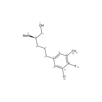 CN[C@@H](CO)CCCc1cc(C)c(F)c(Cl)c1